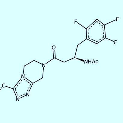 CC(=O)N[C@@H](CC(=O)N1CCn2c(nnc2C(F)(F)F)C1)Cc1cc(F)c(F)cc1F